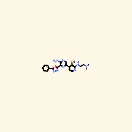 CN(C)CCNc1nccc(-c2cnc(N)c(-c3nnc(-c4ccccc4)o3)n2)c1C#N